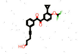 O=C(C(=O)c1ccc(OC(F)F)c(C2CC2)c1)c1cccc(C#CCCCO)c1